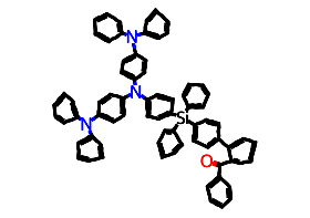 O=C(c1ccccc1)c1ccccc1-c1ccc([Si](c2ccccc2)(c2ccccc2)c2ccc(N(c3ccc(N(c4ccccc4)c4ccccc4)cc3)c3ccc(N(c4ccccc4)c4ccccc4)cc3)cc2)cc1